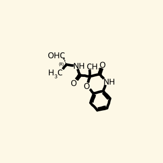 C[C@H](C=O)NC(=O)C1(C)Oc2ccccc2NC1=O